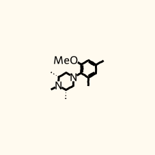 COc1cc(C)cc(C)c1N1C[C@@H](C)N(C)[C@@H](C)C1